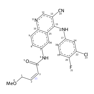 COC/C=C\C(=O)Nc1ccc2ncc(C#N)c(Nc3ccc(F)c(Cl)c3)c2c1